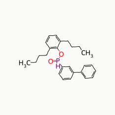 CCCCc1cccc(CCCC)c1O[PH](=O)c1cccc(-c2ccccc2)c1